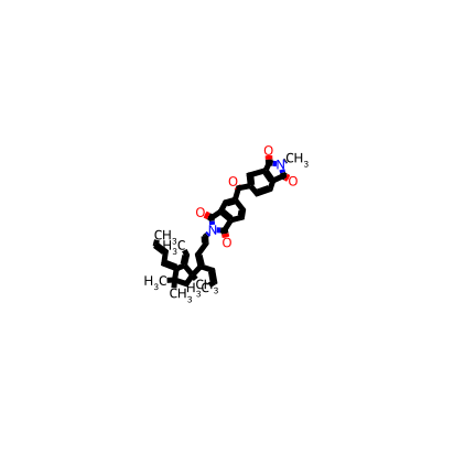 C\C=C/C(=C\C=C\N1C(=O)c2ccc(C(=O)c3ccc4c(c3)C(=O)N(C)C4=O)cc2C1=O)C1(C)CC(C)(C)C(=C/C=C/C)/C1=C\C